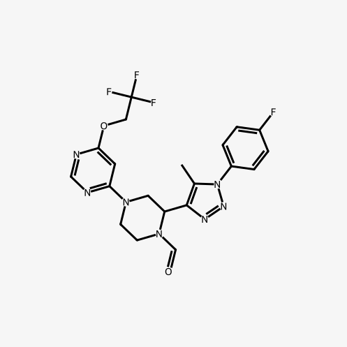 Cc1c(C2CN(c3cc(OCC(F)(F)F)ncn3)CCN2C=O)nnn1-c1ccc(F)cc1